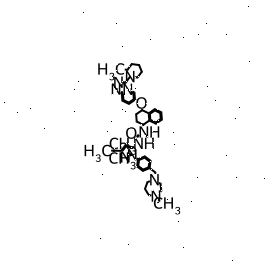 CC1CCCCN1c1nnc2ccc(O[C@@H]3CC[C@H](NC(=O)Nc4cc(C(C)(C)C)nn4-c4ccc(CN5CCCN(C)CC5)cc4)c4ccccc43)cn12